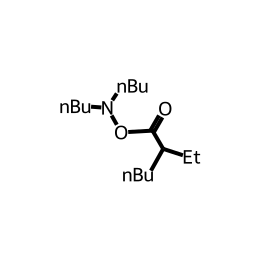 CCCCC(CC)C(=O)ON(CCCC)CCCC